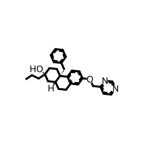 CCC[C@@]1(O)CC[C@@]2(Cc3ccccc3)c3ccc(OCc4ccncn4)cc3CC[C@@H]2C1